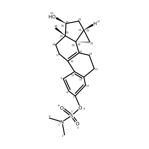 CN(C)S(=O)(=O)Oc1ccc2c(c1)CCC1=C2CC[C@]2(C)[C@@H](O)C[C@@H]3C[C@@]132